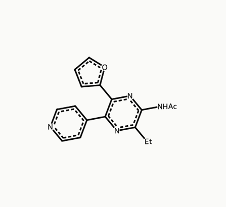 CCc1nc(-c2ccncc2)c(-c2ccco2)nc1NC(C)=O